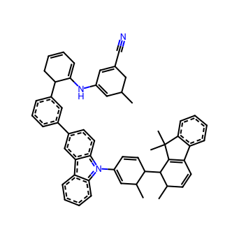 CC1C=C(NC2=CC=CCC2c2cccc(-c3ccc4c(c3)c3ccccc3n4C3=CC(C)C(C4C5=C(C=CC4C)c4ccccc4C5(C)C)C=C3)c2)C=C(C#N)C1